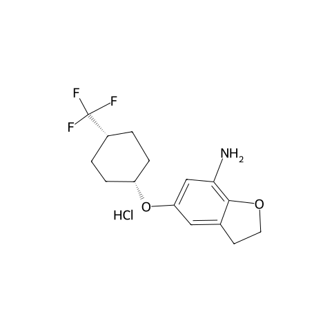 Cl.Nc1cc(O[C@H]2CC[C@@H](C(F)(F)F)CC2)cc2c1OCC2